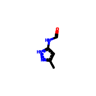 Cc1cc(NC=O)[nH]n1